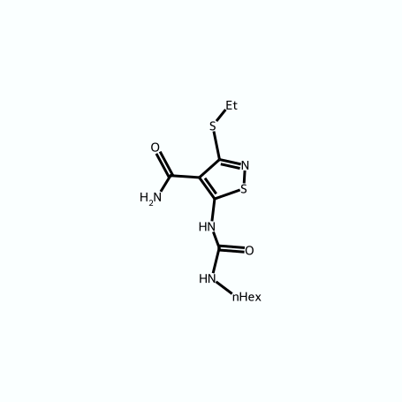 CCCCCCNC(=O)Nc1snc(SCC)c1C(N)=O